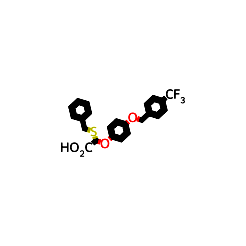 O=C(O)C(Oc1ccc(OCc2ccc(C(F)(F)F)cc2)cc1)SCc1ccccc1